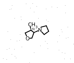 C[C@@H]1COCC1N1CCCC1